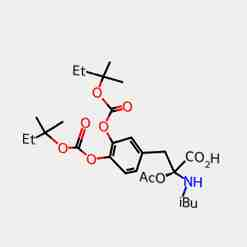 CCC(C)N[C@@](Cc1ccc(OC(=O)OC(C)(C)CC)c(OC(=O)OC(C)(C)CC)c1)(OC(C)=O)C(=O)O